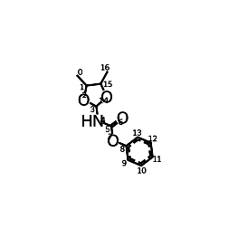 CC1OC(NC(=O)Oc2ccccc2)OC1C